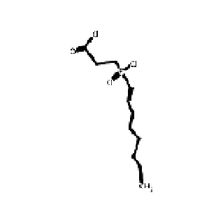 CCCCCC/C=C/P(=O)(Cl)CCC(=O)Cl